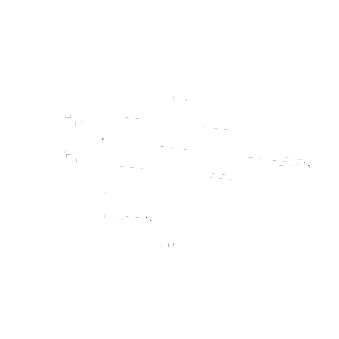 Cc1cc(C#N)ccc1C1CCC(C)(C)C(=O)C1=CN(C)C